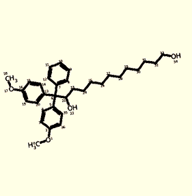 COc1ccc(C(c2ccccc2)(c2ccc(OC)cc2)C(O)CCCCCCCCCCCO)cc1